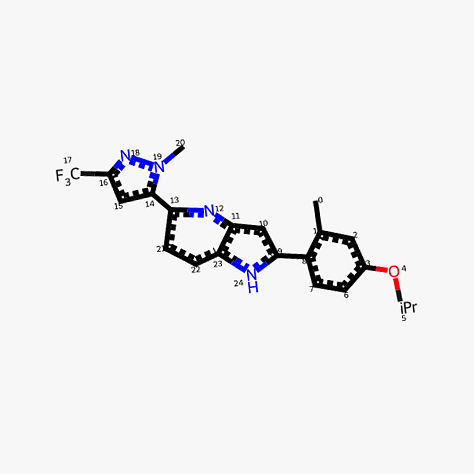 Cc1cc(OC(C)C)ccc1-c1cc2nc(-c3cc(C(F)(F)F)nn3C)ccc2[nH]1